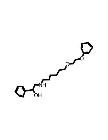 OC(CNCCCCCCOCCOc1ccccc1)c1ccccc1